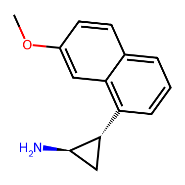 COc1ccc2cccc([C@@H]3C[C@H]3N)c2c1